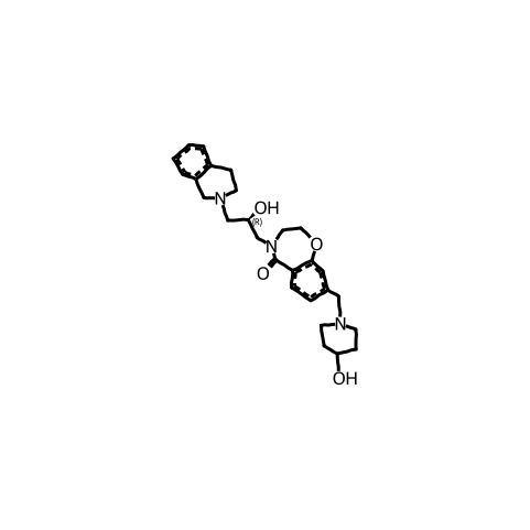 O=C1c2ccc(CN3CCC(O)CC3)cc2OCCN1C[C@H](O)CN1CCc2ccccc2C1